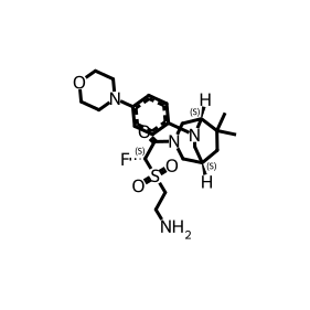 CC1(C)C[C@@H]2CN(C(=O)[C@@H](F)S(=O)(=O)CCN)C[C@H]1N(c1ccc(N3CCOCC3)cc1)C2